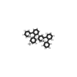 [Ir+3].c1ccc(-c2ccccc2-c2ccccn2)cc1.c1ccc(-c2ccccc2-c2ccccn2)cc1